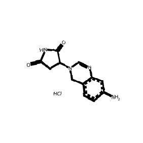 Cl.Nc1ccc2c(c1)N=CN(C1CC(=O)NC1=O)C2